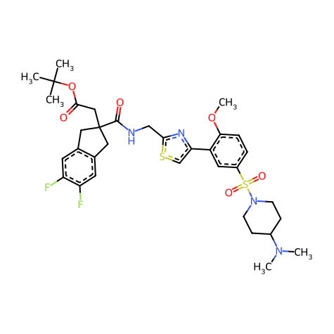 COc1ccc(S(=O)(=O)N2CCC(N(C)C)CC2)cc1-c1csc(CNC(=O)C2(CC(=O)OC(C)(C)C)Cc3cc(F)c(F)cc3C2)n1